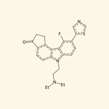 CCN(CC)CCn1c2ccc(-c3cncs3)c(F)c2c2c3c(ccc21)C(=O)CC3